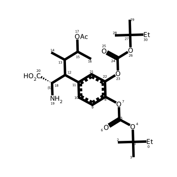 CCC(C)(C)OC(=O)Oc1ccc(C(C(C)C(C)OC(C)=O)[C@H](N)C(=O)O)cc1OC(=O)OC(C)(C)CC